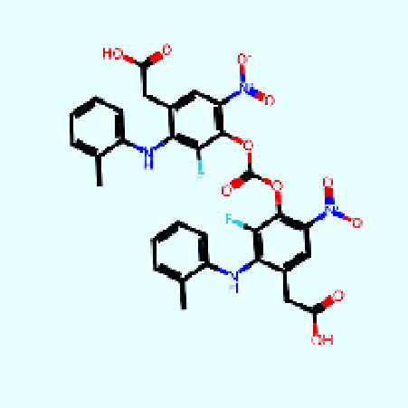 Cc1ccccc1Nc1c(CC(=O)O)cc([N+](=O)[O-])c(OC(=O)Oc2c([N+](=O)[O-])cc(CC(=O)O)c(Nc3ccccc3C)c2F)c1F